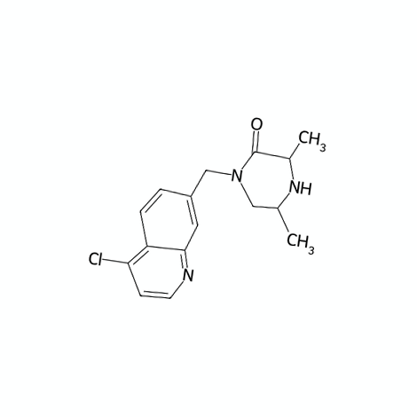 CC1CN(Cc2ccc3c(Cl)ccnc3c2)C(=O)C(C)N1